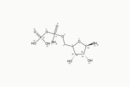 B[C@@H]1OC(COP(B)(=O)OP(=O)(O)O)[C@@H](O)[C@H]1O